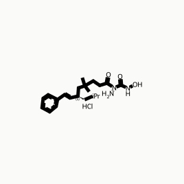 CC(C)C[C@H](C=Cc1ccccc1)CC(C)(C)CCC(=O)N(N)C(=O)NO.Cl